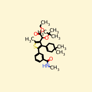 CCOC(=O)C(OC(C)(C)C)c1c(C)sc(-c2cccc(C(=O)NC)c2)c1C1=CCC(C)(C)CC1